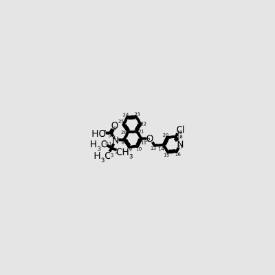 CC(C)(C)N(C(=O)O)c1ccc(OCc2ccnc(Cl)c2)c2ccccc12